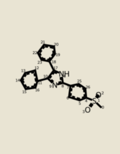 CS(=O)(=O)c1ccc(-c2nc(-c3ccccc3)c(-c3ccccc3)[nH]2)cc1